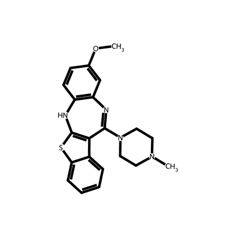 COc1ccc2c(c1)N=C(N1CCN(C)CC1)c1c(sc3ccccc13)N2